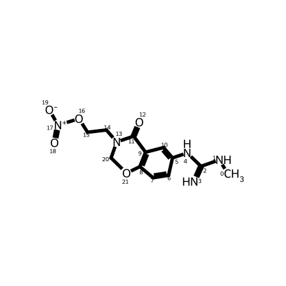 CNC(=N)Nc1ccc2c(c1)C(=O)N(CCO[N+](=O)[O-])CO2